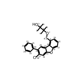 CC(C)(O)C(C)(C)OSc1cccc2oc3cc(Cl)c(-c4ccccc4)cc3c12